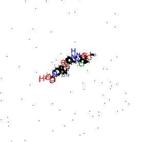 CCOC(=O)C1(c2cnc(Nc3ccc(S(=O)(=O)C4CC5(CCN(C(=O)O)CC5)C4C(C)(C)C)cc3C)nc2Cl)CC1